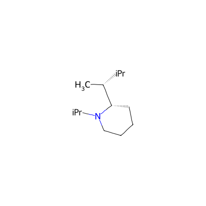 CC(C)[C@@H](C)[C@@H]1CCCCN1C(C)C